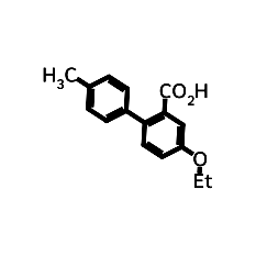 CCOc1ccc(-c2ccc(C)cc2)c(C(=O)O)c1